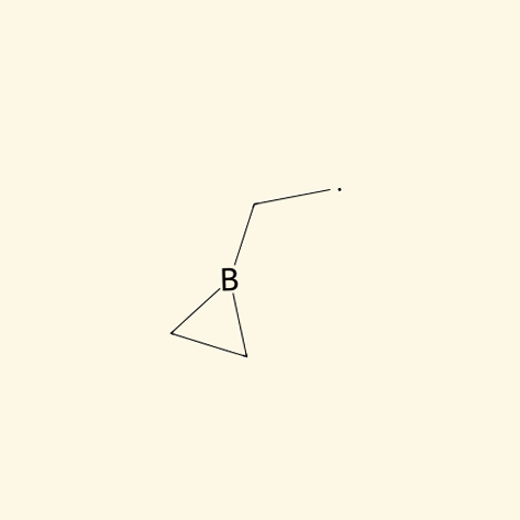 [CH2]CB1CC1